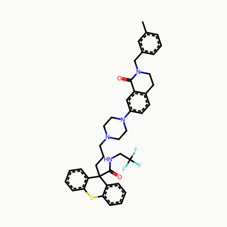 Cc1cccc(CN2CCc3ccc(N4CCN(CCCC5(C(=O)NCC(F)(F)F)c6ccccc6Sc6ccccc65)CC4)cc3C2=O)c1